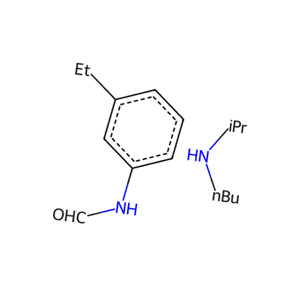 CCCCNC(C)C.CCc1cccc(NC=O)c1